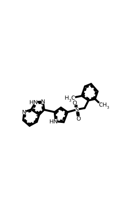 Cc1cccc(C)c1CS(=O)(=O)c1c[nH]c(-c2n[nH]c3ncccc23)c1